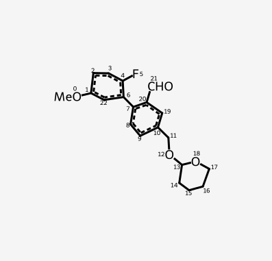 COc1ccc(F)c(-c2ccc(COC3CCCCO3)cc2C=O)c1